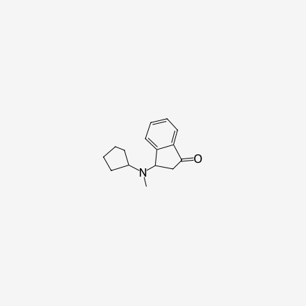 CN(C1CCCC1)C1CC(=O)c2ccccc21